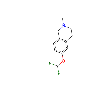 CN1CCc2cc(OC(F)F)ccc2C1